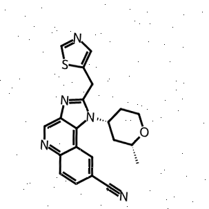 C[C@@H]1C[C@H](n2c(Cc3cncs3)nc3cnc4ccc(C#N)cc4c32)CCO1